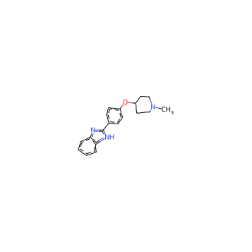 CN1CCC(Oc2ccc(-c3nc4ccccc4[nH]3)cc2)CC1